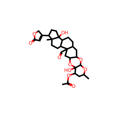 CC(=O)OC1CC(C)OC2OC3CC4CCC5C(CCC6(C)C(C7=CC(=O)OC7)CCC56O)C4(C=O)CC3OC12O